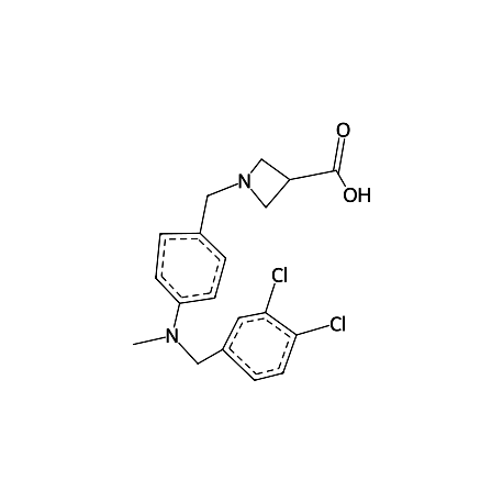 CN(Cc1ccc(Cl)c(Cl)c1)c1ccc(CN2CC(C(=O)O)C2)cc1